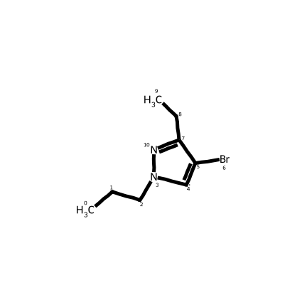 CCCn1[c]c(Br)c(CC)n1